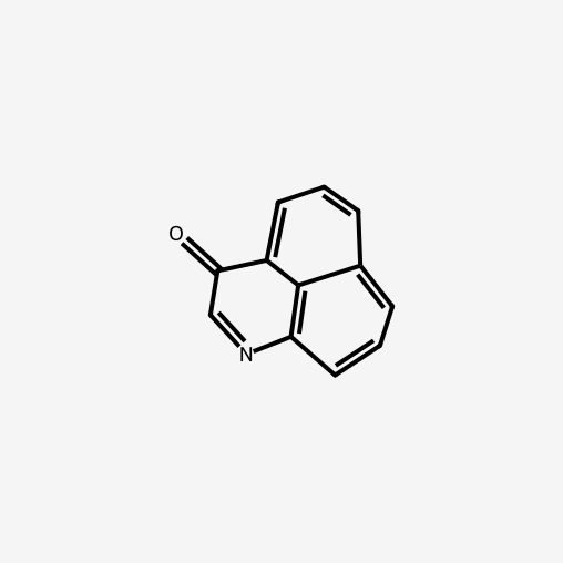 O=C1C=Nc2cccc3cccc1c23